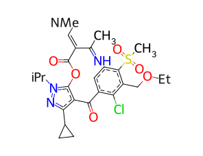 CCOCc1c(S(C)(=O)=O)ccc(C(=O)c2c(C3CC3)nn(C(C)C)c2OC(=O)/C(=C/NC)C(C)=N)c1Cl